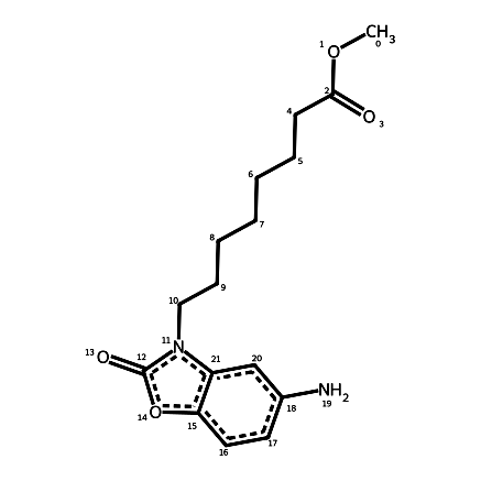 COC(=O)CCCCCCCn1c(=O)oc2ccc(N)cc21